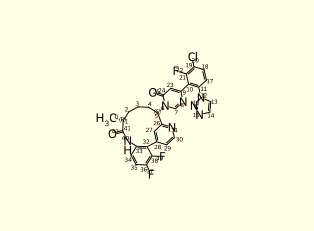 C[C@@H]1CCC[C@H](n2cnc(-c3c(-n4ccnn4)ccc(Cl)c3F)cc2=O)c2cc(ccn2)-c2c(ccc(F)c2F)NC1=O